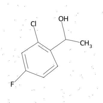 CC(O)c1ccc(F)cc1Cl